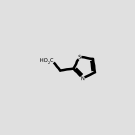 O=C(O)Cc1nccs1